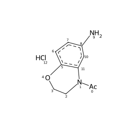 CC(=O)N1CCOc2ccc(N)cc21.Cl